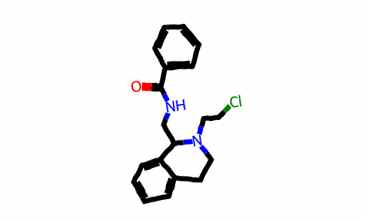 O=C(NCC1c2ccccc2CCN1CCCl)c1ccccc1